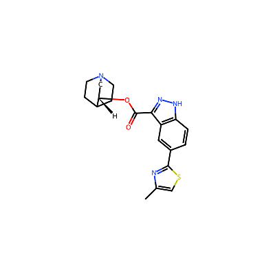 Cc1csc(-c2ccc3[nH]nc(C(=O)O[C@H]4CN5CCC4CC5)c3c2)n1